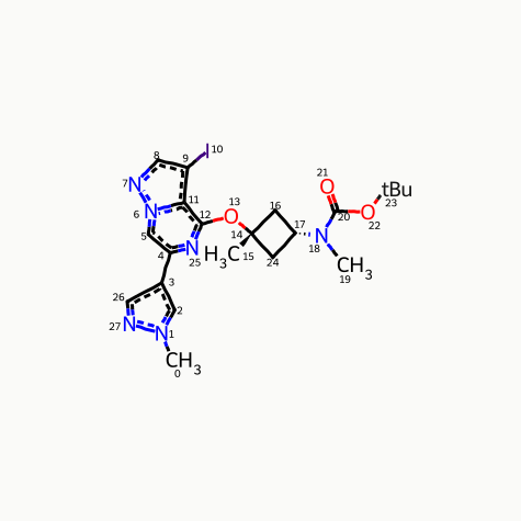 Cn1cc(-c2cn3ncc(I)c3c(O[C@]3(C)C[C@H](N(C)C(=O)OC(C)(C)C)C3)n2)cn1